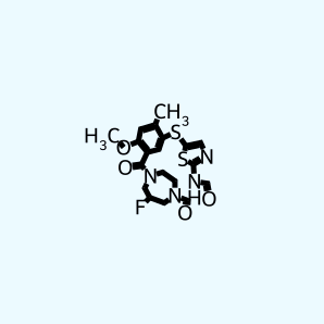 COc1cc(C)c(Sc2cnc(NC=O)s2)cc1C(=O)N1CCN(C=O)CC(F)C1